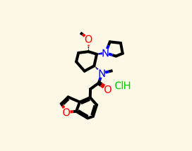 CO[C@H]1CCC[C@@H](N(C)C(=O)Cc2cccc3occc23)[C@@H]1N1CCCC1.Cl